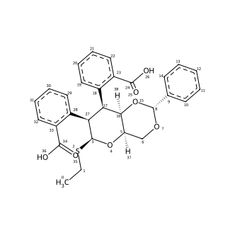 CCS[C@@H]1O[C@@H]2CO[C@@H](c3ccccc3)O[C@@H]2[C@H](c2ccccc2C(=O)O)[C@@H]1c1ccccc1C(=O)O